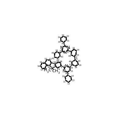 CC1(C)c2cc(-c3nc(-c4ccccc4)cc(-c4cccc(-c5cccc(-c6nc(-c7ccccc7)nc(-c7ccccc7)n6)c5)c4)n3)ccc2-c2ccc3ccccc3c21